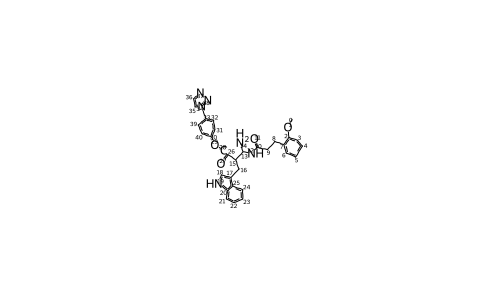 COc1ccccc1CCC(=O)NC(N)C(Cc1c[nH]c2ccccc12)C(=O)COc1ccc(-n2ccnn2)cc1